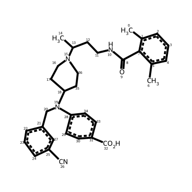 Cc1cccc(C)c1C(=O)NCCC(C)N1CCC(N(Cc2cccc(C#N)c2)c2ccc(C(=O)O)cc2)CC1